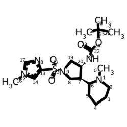 CN1CCCCC1[C@H]1CN(S(=O)(=O)c2cn(C)cn2)C[C@@H]1NC(=O)OC(C)(C)C